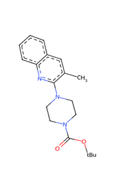 Cc1cc2ccccc2nc1N1CCN(C(=O)OC(C)(C)C)CC1